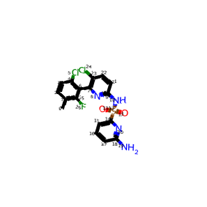 Cc1ccc(Cl)c(-c2nc(NS(=O)(=O)c3cccc(N)n3)ccc2Cl)c1F